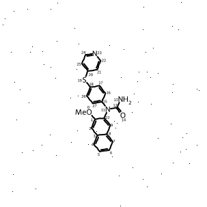 COc1cc2ccccc2cc1N(C(N)=O)c1ccc(Sc2ccncc2)cc1